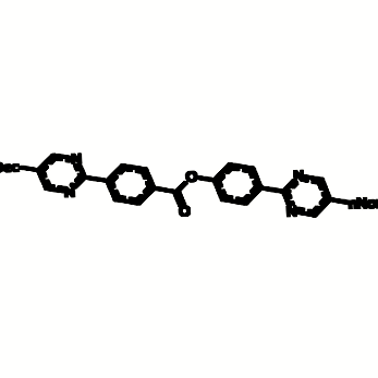 CCCCCCCCCCc1cnc(-c2ccc(C(=O)Oc3ccc(-c4ncc(CCCCCCCCC)cn4)cc3)cc2)nc1